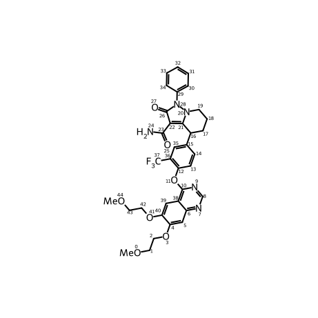 COCCOc1cc2ncnc(Oc3ccc(C4CCCn5c4c(C(N)=O)c(=O)n5-c4ccccc4)cc3C(F)(F)F)c2cc1OCCOC